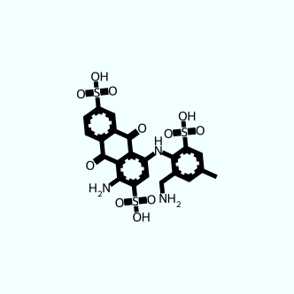 Cc1cc(CN)c(Nc2cc(S(=O)(=O)O)c(N)c3c2C(=O)c2cc(S(=O)(=O)O)ccc2C3=O)c(S(=O)(=O)O)c1